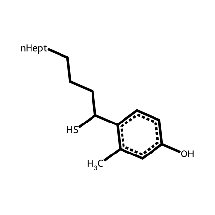 CCCCCCCCCCC(S)c1ccc(O)cc1C